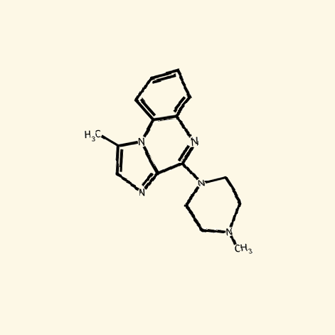 Cc1cnc2c(N3CCN(C)CC3)nc3ccccc3n12